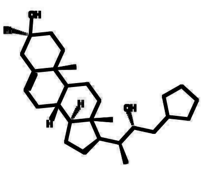 CC[C@]1(O)CC[C@@]2(C)C(=CC[C@@H]3C2CC[C@]2(C)[C@@H]([C@H](C)[C@H](O)CC4CCCC4)CC[C@@H]32)C1